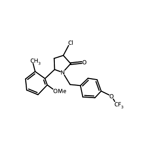 COc1cccc(C)c1C1CC(Cl)C(=O)N1Cc1ccc(OC(F)(F)F)cc1